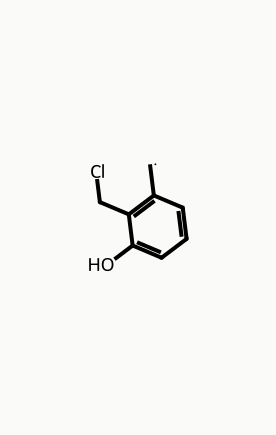 [CH2]c1cccc(O)c1CCl